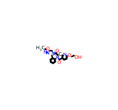 Cc1nnc(CN2Cc3ccccc3N(C(=O)c3ccc(OCCO)nc3C)CC2=O)o1